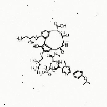 Cc1nc(-c2ccc(OC(C)C)cc2)ncc1C(=O)N[C@@H](CNS(N)(=O)=O)C(=O)N(C)[C@@H]1C(=O)N[C@@H](C)C(=O)N[C@H](C(=O)O)Cc2ccc(OC[C@H](O)CN)c(c2)-c2cc1cc(OC[C@H](O)CN)c2O